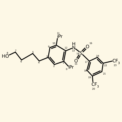 CC(C)c1cc(CCCCO)cc(C(C)C)c1NS(=O)(=O)c1cc(C(F)(F)F)cc(C(F)(F)F)c1